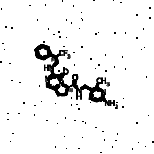 Cc1nc(N)ccc1CNC(=O)[C@@H]1CCc2cnc(NC[C@@H](c3ccccc3)C(F)(F)F)c(=O)n21